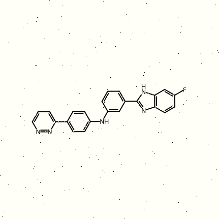 Fc1ccc2nc(-c3cccc(Nc4ccc(-c5cccnn5)cc4)c3)[nH]c2c1